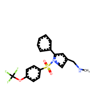 CNCc1cc(-c2ccccc2)n(S(=O)(=O)c2ccc(OC(F)(F)F)cc2)c1